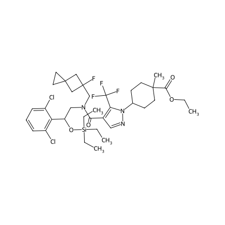 CCOC(=O)C1(C)CCC(n2ncc(C(=O)N(CC(O[Si](CC)(CC)CC)c3c(Cl)cccc3Cl)CC3(F)CC4(CC4)C3)c2C(F)(F)F)CC1